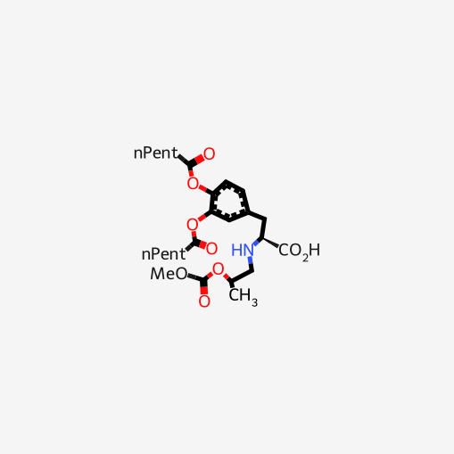 CCCCCC(=O)Oc1ccc(C[C@H](NCC(C)OC(=O)OC)C(=O)O)cc1OC(=O)CCCCC